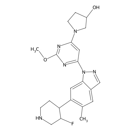 COc1nc(N2CCC(O)C2)cc(-n2ncc3cc(C)c(C4CCNCC4F)cc32)n1